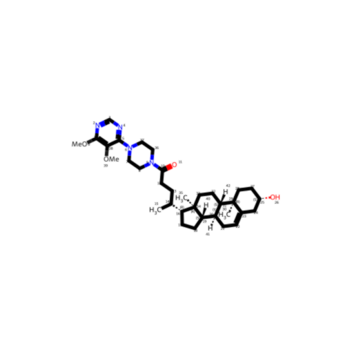 COc1ncnc(N2CCN(C(=O)CCC(C)[C@H]3CC[C@H]4[C@@H]5CC=C6C[C@@H](O)CC[C@]6(C)[C@H]5CC[C@]34C)CC2)c1OC